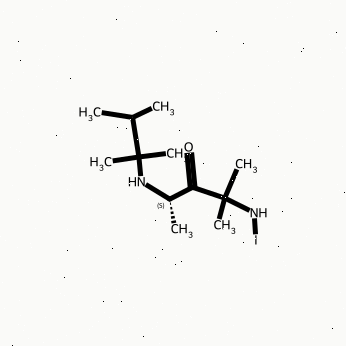 CC(C)C(C)(C)N[C@@H](C)C(=O)C(C)(C)NI